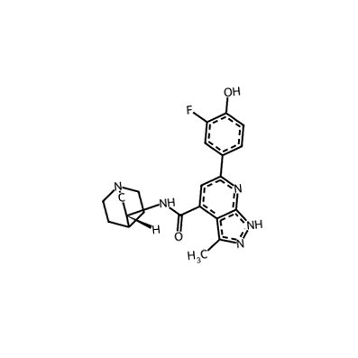 Cc1n[nH]c2nc(-c3ccc(O)c(F)c3)cc(C(=O)N[C@H]3CN4CCC3CC4)c12